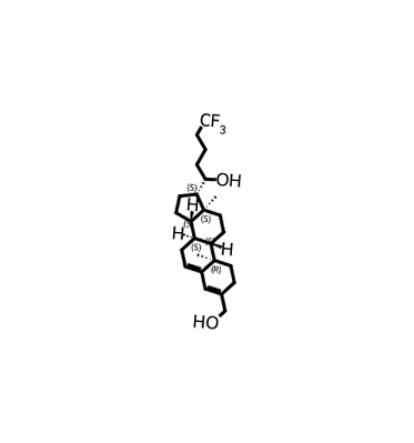 C[C@]12CC[C@H]3[C@@H](CC=C4C=C(CO)CC[C@@]43C)[C@@H]1CC[C@@H]2C(O)CCCC(F)(F)F